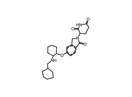 O=C1CCC(N2Cc3cc(OC4CCCCC4NCC4CCCCC4)ccc3C2=O)C(=O)N1